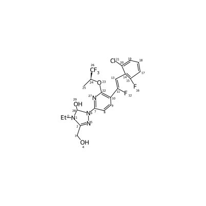 CCN1C(CO)=NN(c2ccc(/C(F)=C/c3c(F)cccc3Cl)c(O[C@@H](C)C(F)(F)F)n2)C1O